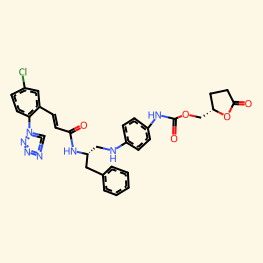 O=C(/C=C/c1cc(Cl)ccc1-n1cnnn1)N[C@H](CNc1ccc(NC(=O)OC[C@@H]2CCC(=O)O2)cc1)Cc1ccccc1